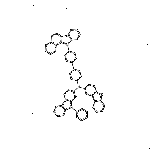 c1ccc(-n2c3ccccc3c3ccc(N(c4ccc(-c5ccc(-n6c7ccccc7c7ccc8ccccc8c76)cc5)cc4)c4ccc5sc6ccccc6c5c4)cc32)cc1